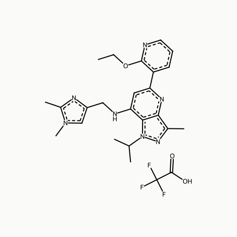 CCOc1ncccc1-c1cc(NCc2cn(C)c(C)n2)c2c(n1)c(C)nn2C(C)C.O=C(O)C(F)(F)F